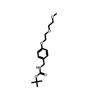 COCCOCCOc1ccc(CNC(=O)OC(C)(C)C)cc1